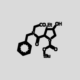 CCOC(=O)CN(Cc1ccccc1)C(=O)C1CC(O)CN1C(=O)OC(C)(C)C